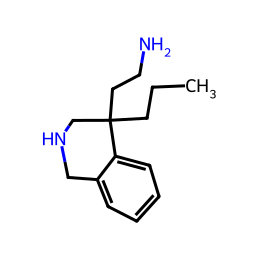 CCCC1(CCN)CNCc2ccccc21